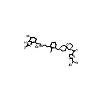 CCC(CC)c1nc(C(=O)N2CCOC3(CCN(Cc4cccc(CCNC[C@H](O)c5ccc(O)c6[nH]c(=O)sc56)c4F)CC3)C2)cs1